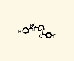 O=C(c1ccc(F)cc1)N1CCCC(c2nc(C3=CCNC=C3)no2)C1